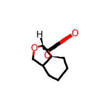 O=C1C[C@@H]2OCC3CCCC[C@]32O1